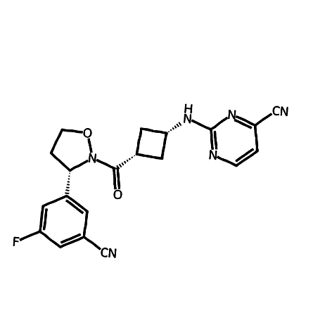 N#Cc1cc(F)cc([C@@H]2CCON2C(=O)[C@H]2C[C@@H](Nc3nccc(C#N)n3)C2)c1